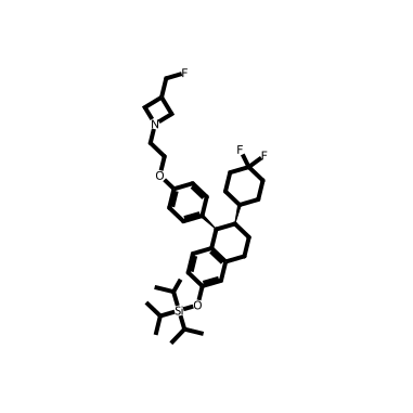 CC(C)[Si](Oc1ccc2c(c1)CC[C@H](C1CCC(F)(F)CC1)[C@@H]2c1ccc(OCCN2CC(CF)C2)cc1)(C(C)C)C(C)C